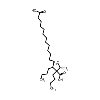 CCCCC(CCCCCCCCCCCCC(=O)O)C(CCCC)(C(=O)O)C(C)C